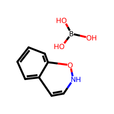 C1=Cc2ccccc2ON1.OB(O)O